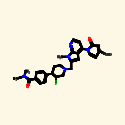 CNc1ccn(-c2ccnc3c2cc(CN2CC[C@H](c4ccc(C(=O)N(C)C)cc4)[C@@H](F)C2)n3C)c(=O)c1